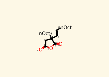 CCCCCCCCC=CC1(CCCCCCCC)CC(=O)OC1=O